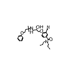 CCCN(CCC)C(=O)c1ccc(OC[C@H](O)CNC(C)(C)CCOc2ccccc2)c(C#N)c1